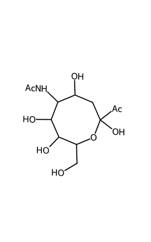 CC(=O)NC1C(O)CC(O)(C(C)=O)OC(CO)C(O)C1O